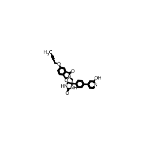 CC#CCOc1ccc2c(c1)C(=O)N(C[C@@]1(c3ccc(-c4ccnc(O)c4)cc3)NC(=O)NC1=O)C2